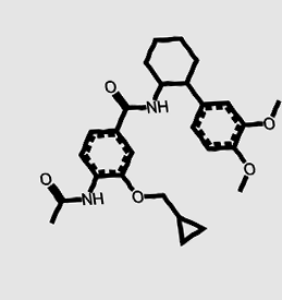 COc1ccc(C2CCCCC2NC(=O)c2ccc(NC(C)=O)c(OCC3CC3)c2)cc1OC